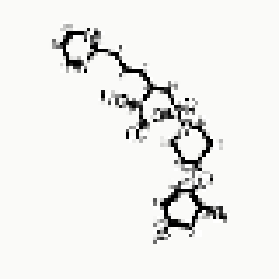 O=CN(O)C(CCCc1ncccn1)CS(=O)(=O)N1CCC(Oc2ccc(F)cc2Br)CC1